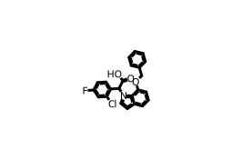 O=C(O)C(c1ccc(F)cc1Cl)n1ccc2cccc(OCc3ccccc3)c21